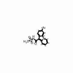 CC(=O)c1ccc2c(C(=O)NS(C)(=O)=O)c3ccccn3c2c1